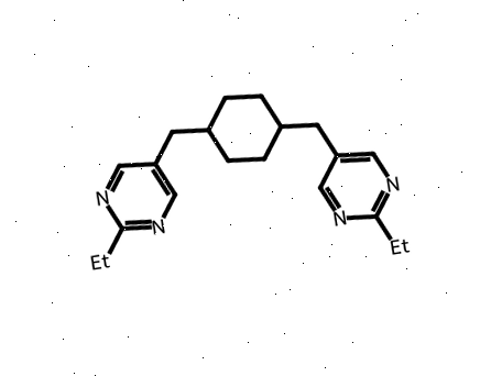 CCc1ncc(CC2CCC(Cc3cnc(CC)nc3)CC2)cn1